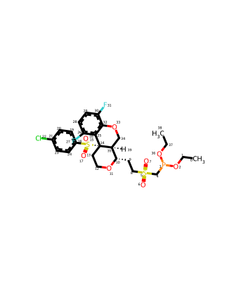 CCOP(CS(=O)(=O)CC[C@@H]1OCC[C@@]2(S(=O)(=O)c3ccc(Cl)cc3)c3c(F)ccc(F)c3OC[C@@H]12)OCC